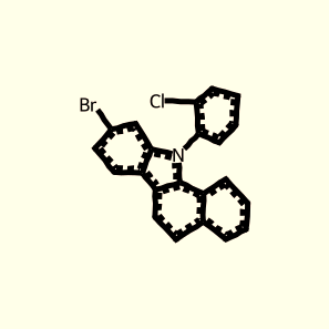 Clc1ccccc1-n1c2cc(Br)ccc2c2ccc3ccccc3c21